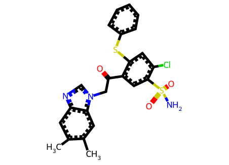 Cc1cc2ncn(CC(=O)c3cc(S(N)(=O)=O)c(Cl)cc3Sc3ccccc3)c2cc1C